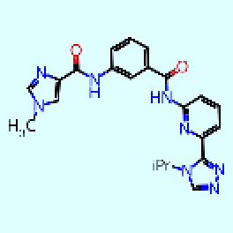 CC(C)n1cnnc1-c1cccc(NC(=O)c2cccc(NC(=O)c3cn(C)cn3)c2)n1